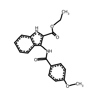 CCOC(=O)c1[nH]c2ccccc2c1NC(=O)c1ccc(OC)cc1